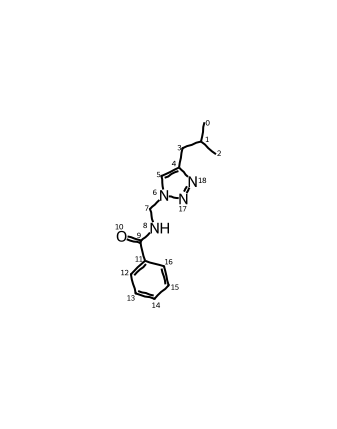 CC(C)Cc1cn(CNC(=O)c2ccccc2)nn1